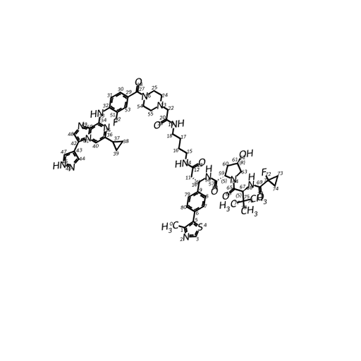 Cc1ncsc1-c1ccc([C@H](CC(=O)NCCCCNC(=O)CN2CCN(C(=O)c3ccc(Nc4nc(C5CC5)cn5c(-c6cn[nH]c6)cnc45)c(F)c3)CC2)NC(=O)[C@@H]2C[C@@H](O)CN2C(=O)[C@@H](NC(=O)C2(F)CC2)C(C)(C)C)cc1